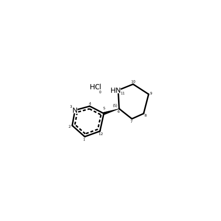 Cl.c1cncc([C@@H]2CCCCN2)c1